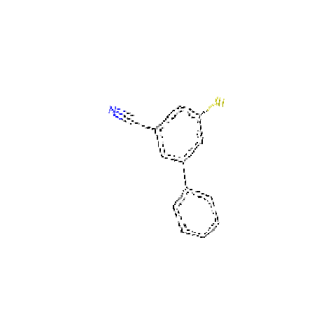 N#Cc1cc(S)cc(-c2ccccc2)c1